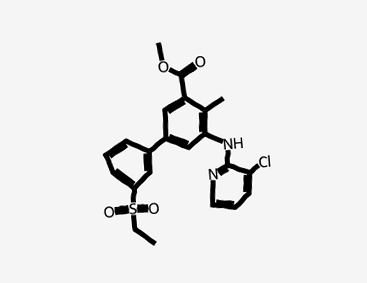 CCS(=O)(=O)c1cccc(-c2cc(Nc3ncccc3Cl)c(C)c(C(=O)OC)c2)c1